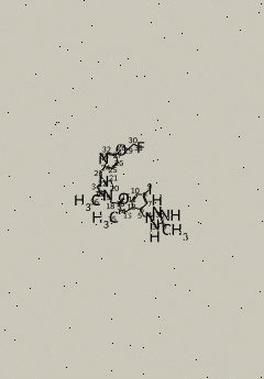 CC1NNN(CC2C=C(I)C=CC2CC(C)C(=O)CN2CCN(Cc3ccc(OCCF)cn3)C[C@H]2C)N1